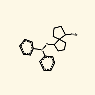 COC1CCCC12CCCC2OP(c1ccccc1)c1ccccc1